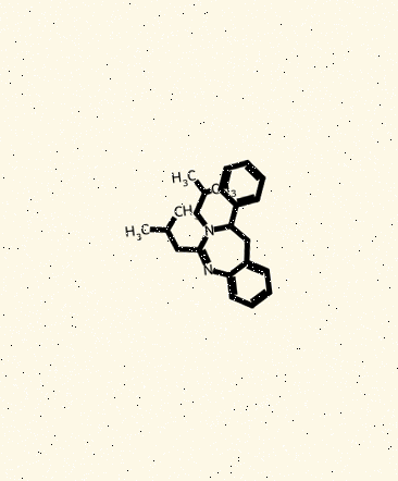 CC(C)CC1=Nc2ccccc2CC(c2ccccc2)N1CC(C)C